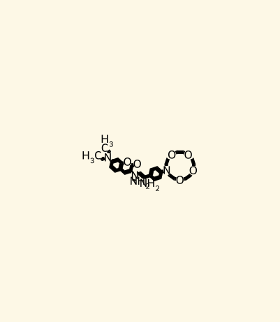 CCN(CC)c1ccc2cc(N(N)/C=C(\N)c3ccc(N4CCOCCOCCOCCOCC4)cc3)c(=O)oc2c1